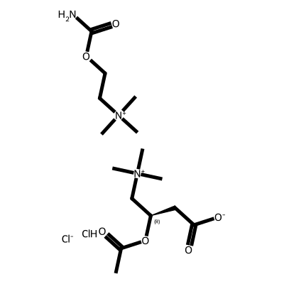 CC(=O)O[C@H](CC(=O)[O-])C[N+](C)(C)C.C[N+](C)(C)CCOC(N)=O.Cl.[Cl-]